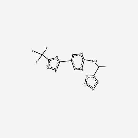 CC(Nc1ncc(-c2noc(C(F)(F)F)n2)cn1)c1cnsn1